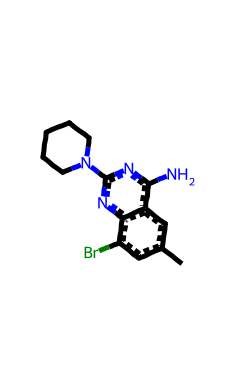 Cc1cc(Br)c2nc(N3CCCCC3)nc(N)c2c1